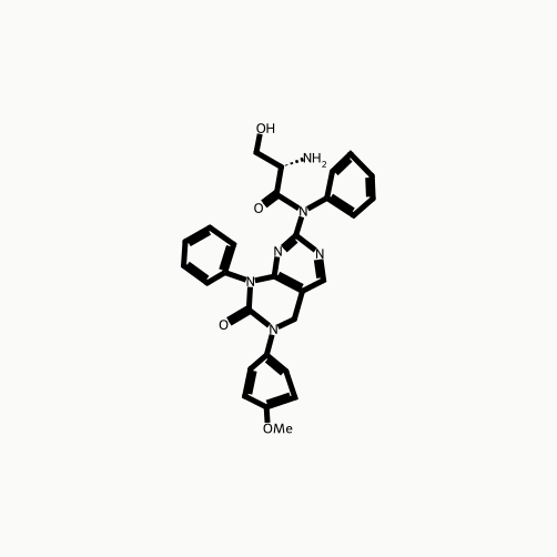 COc1ccc(N2Cc3cnc(N(C(=O)[C@@H](N)CO)c4ccccc4)nc3N(c3ccccc3)C2=O)cc1